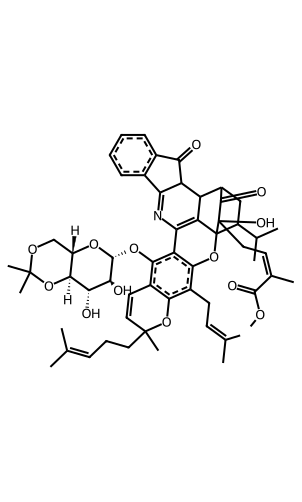 COC(=O)/C(C)=C\CC1(O)C(=O)C2CC(C(C)C)C13Oc1c(CC=C(C)C)c4c(c(O[C@H]5O[C@H]6COC(C)(C)O[C@@H]6[C@@H](O)[C@@H]5O)c1C1=C3C2C2C(=O)c3ccccc3C2=N1)C=CC(C)(CCC=C(C)C)O4